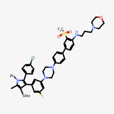 CSc1c(-c2cc(F)cc(N3CCN(c4ccc(-c5ccc(NCCCN6CCOCC6)c(S(=O)(=O)C(F)(F)F)c5)cc4)CC3)c2)c(-c2ccc(Cl)cc2)n(C(C)C)c1C